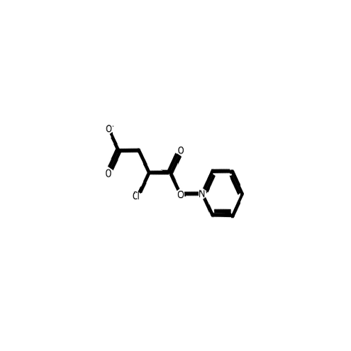 O=C([O-])CC(Cl)C(=O)O[n+]1ccccc1